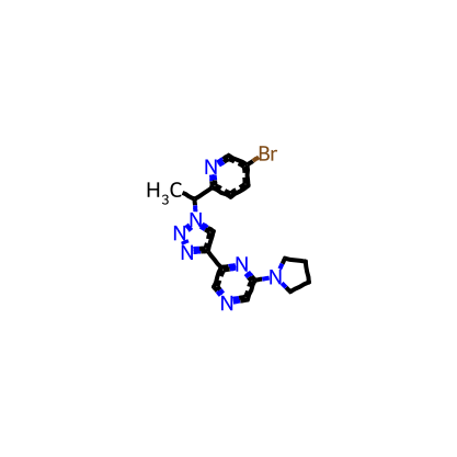 CC(c1ccc(Br)cn1)n1cc(-c2cncc(N3CCCC3)n2)nn1